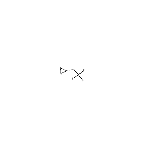 FC(F)(F)C[C@H]1CO1